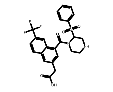 O=C(O)Cc1cc(C(=O)N2CCNCC2S(=O)(=O)c2ccccc2)c2cc(C(F)(F)F)ccc2c1